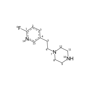 Fc1ccc(CCN2CCNCC2)cn1